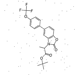 CC(C(=O)OC(C)(C)C)n1c(=O)oc2ccc(-c3ccc(OC(F)(F)F)cc3)cc21